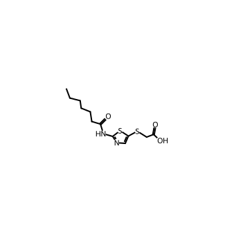 CCCCCCC(=O)Nc1ncc(SCC(=O)O)s1